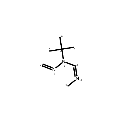 C=NN(/C=N\C)C(C)(C)C